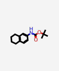 CC(C)(C)OC(=O)Nc1ccc2c(c1)CCCC2